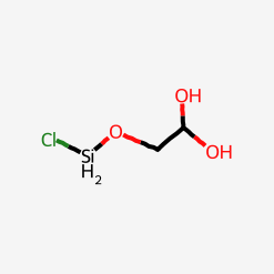 OC(O)CO[SiH2]Cl